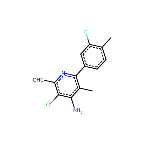 Cc1ccc(-c2nc(C=O)c(Cl)c(N)c2C)cc1F